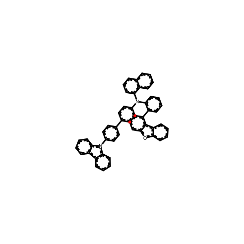 c1ccc(N(c2ccc(-c3ccc(-n4c5ccccc5c5ccccc54)cc3)cc2)c2cccc3ccccc23)c(-c2cccc3oc4ccccc4c23)c1